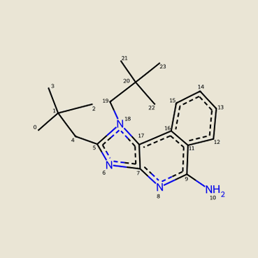 CC(C)(C)Cc1nc2nc(N)c3ccccc3c2n1CC(C)(C)C